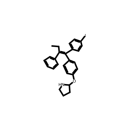 CC/C(=C(\c1ccc(I)cc1)c1ccc(OC2CCCN2)cc1)c1ccccc1